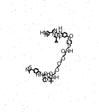 Cc1ncsc1-c1ccc(CNC(=O)[C@@H]2CCCN2C(=O)[C@@H](NC(=O)CCOCCOCCOCCC(=O)NCCN2CCN(C(=O)c3ccc(Nc4nc(C5CC5)cn5c(-c6cn[nH]c6)cnc45)c(F)c3)CC2)C(C)(C)C)cc1